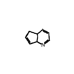 [C]1=CC=NC2C=CCC12